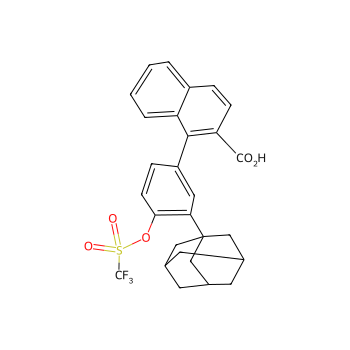 O=C(O)c1ccc2ccccc2c1-c1ccc(OS(=O)(=O)C(F)(F)F)c(C23CC4CC(CC(C4)C2)C3)c1